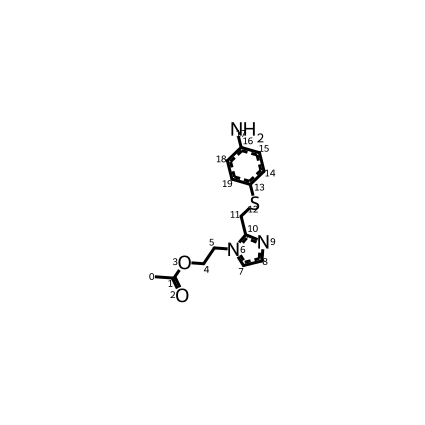 CC(=O)OCCn1ccnc1CSc1ccc(N)cc1